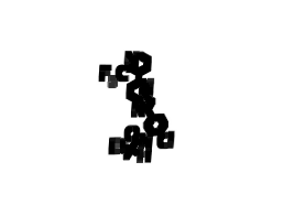 CCC(C)(C)C(=O)Nc1cc(-c2cn3nc(-c4cccnc4C(F)(F)F)ccc3n2)ccc1Cl